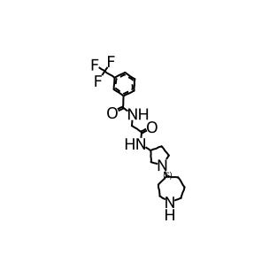 O=C(CNC(=O)c1cccc(C(F)(F)F)c1)NC1CCN([C@H]2CCCNCC2)C1